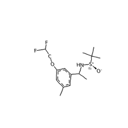 Cc1cc(OCC(F)F)cc(C(C)N[S@+]([O-])C(C)(C)C)c1